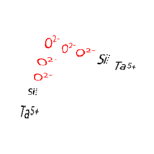 [O-2].[O-2].[O-2].[O-2].[O-2].[Si].[Si].[Ta+5].[Ta+5]